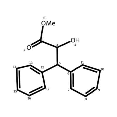 COC(=O)C(O)C(c1ccccc1)c1ccccc1